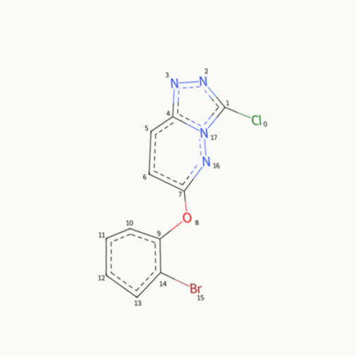 Clc1nnc2ccc(Oc3ccccc3Br)nn12